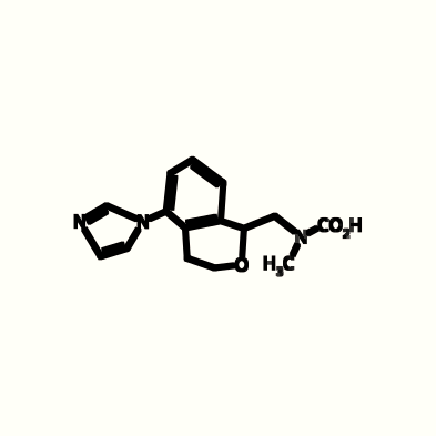 CN(CC1OCCc2c1cccc2-n1ccnc1)C(=O)O